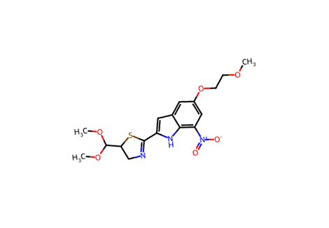 COCCOc1cc([N+](=O)[O-])c2[nH]c(C3=NCC(C(OC)OC)S3)cc2c1